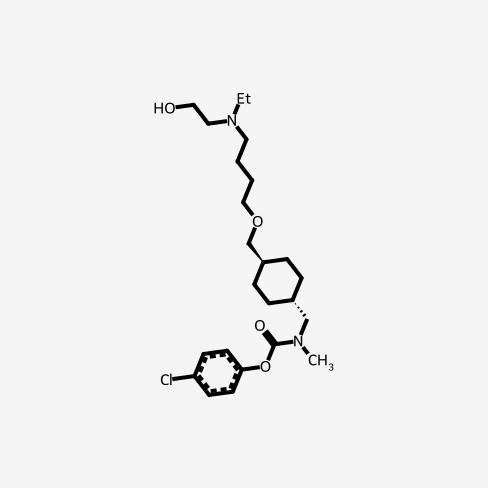 CCN(CCO)CCCCOC[C@H]1CC[C@H](CN(C)C(=O)Oc2ccc(Cl)cc2)CC1